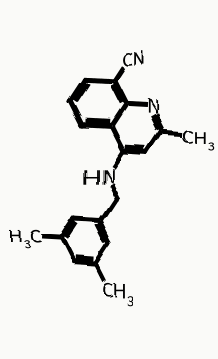 Cc1cc(C)cc(CNc2cc(C)nc3c(C#N)cccc23)c1